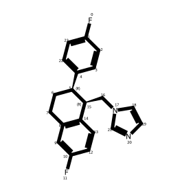 Fc1ccc([C@@H]2CCc3cc(F)ccc3[C@@H]2Cn2ccnc2)cc1